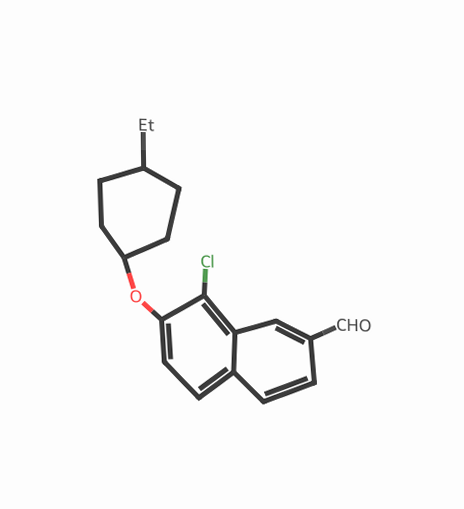 CCC1CCC(Oc2ccc3ccc(C=O)cc3c2Cl)CC1